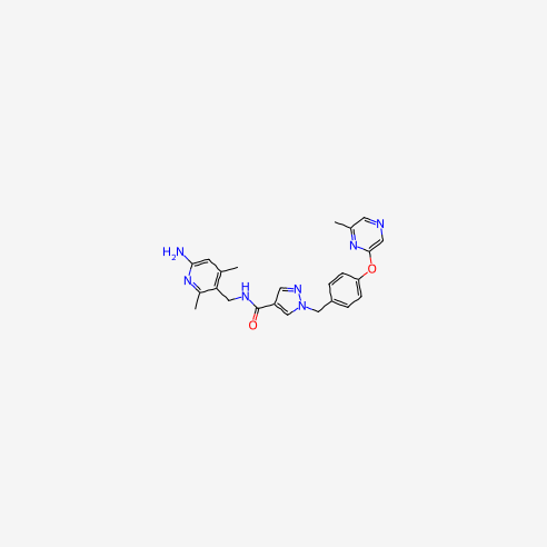 Cc1cncc(Oc2ccc(Cn3cc(C(=O)NCc4c(C)cc(N)nc4C)cn3)cc2)n1